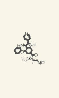 C[C@@H](CN=O)N(N)C(=O)C1CC(=O)c2c([nH]c(-c3ccncc3)c2Nc2ccccc2)C1